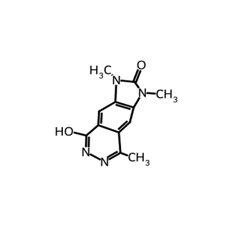 Cc1nnc(O)c2cc3c(cc12)n(C)c(=O)n3C